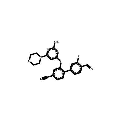 Cc1nc(Oc2cc(C#N)ccc2-c2ccc(C=O)c(F)c2)cc(N2CCOCC2)n1